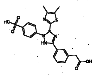 Cc1nc(N2N=C(c3cccc(CC(=O)O)c3)NN2c2ccc(S(=O)(=O)O)cc2)sc1C